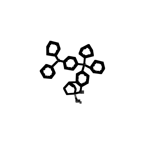 C[C@@]12CC=C(CC1)c1cc([Si](c3ccccc3)(c3ccccc3)c3ccc(N(c4ccccc4)c4ccccc4)cc3)ccc1N2